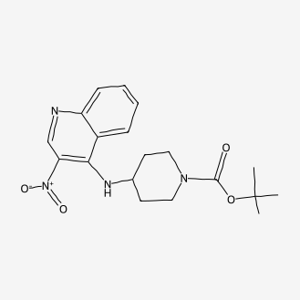 CC(C)(C)OC(=O)N1CCC(Nc2c([N+](=O)[O-])cnc3ccccc23)CC1